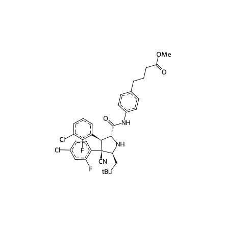 COC(=O)CCCc1ccc(NC(=O)[C@@H]2N[C@@H](CC(C)(C)C)[C@](C#N)(c3ccc(Cl)cc3F)[C@H]2c2cccc(Cl)c2F)cc1